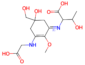 COC1=C(NCC(=O)O)CC(O)(CO)C/C1=N\C(C(=O)O)C(C)O